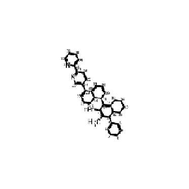 CCCC1=C(C)C(c2ccccc2)C2CCCCC2=C1C1C=CC=C2C(c3ccc(-c4ccccn4)nc3)=CCCC21